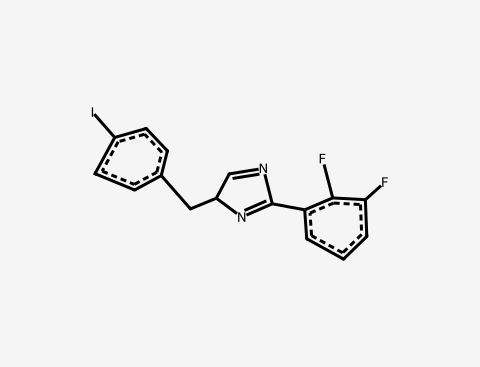 Fc1cccc(C2=NC(Cc3ccc(I)cc3)C=N2)c1F